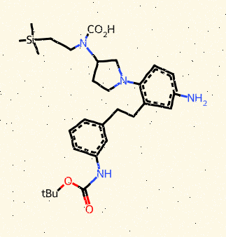 CC(C)(C)OC(=O)Nc1cccc(CCc2cc(N)ccc2N2CCC(N(CC[Si](C)(C)C)C(=O)O)C2)c1